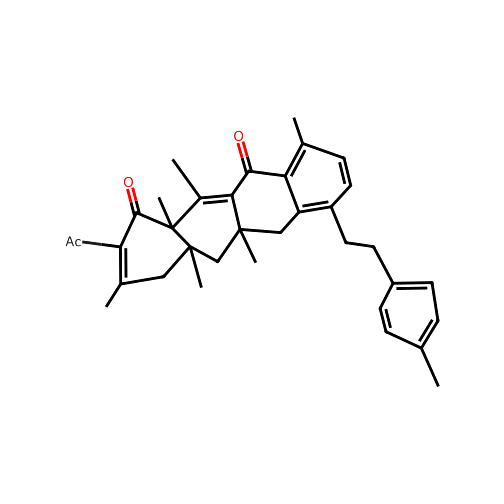 CC(=O)C1=C(C)CC2(C)CC3(C)Cc4c(CCc5ccc(C)cc5)ccc(C)c4C(=O)C3=C(C)C2(C)C1=O